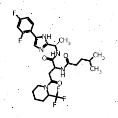 CC(C)CCC(=O)NC(CC(=O)N1CCCCC1C(F)(F)F)C(=O)N[C@@H](C)c1ncc(-c2ccc(F)cc2F)[nH]1